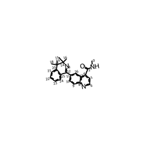 CNC(=O)c1ccnc2ccc(C3=NC(C)(C)C(C)(C)c4ccccc43)cc12